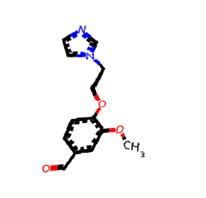 COc1cc(C=O)ccc1OCCn1ccnc1